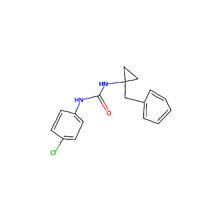 O=C(Nc1ccc(Cl)cc1)NC1(Cc2ccccc2)CC1